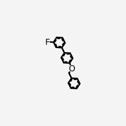 Fc1cccc(-c2ccc(OCc3ccccc3)cc2)c1